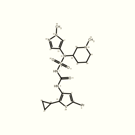 CC(C)c1cc(NC(=O)NS(=O)(=O)N(c2cnn(C)c2)C2CCCN(C)C2)c(C2CC2)s1